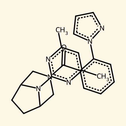 Cc1cc(C)nc(N2C3CCC2CN(C(=O)c2ccccc2-n2cccn2)C3)n1